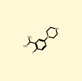 CC(O)c1cc(N2CCNCC2)ccc1F